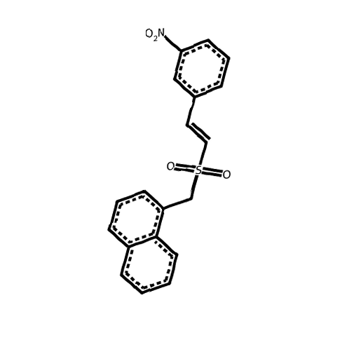 O=[N+]([O-])c1cccc(C=CS(=O)(=O)Cc2cccc3ccccc23)c1